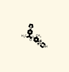 CCC(C(=O)Oc1ccc(S(=O)(=O)N2CCNCC2)cc1C)c1ccc(N2CCCC2)cc1